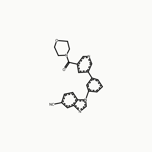 N#Cc1ccc2c(c1)ncn2-c1cccc(-c2cncc(C(=O)N3CCOCC3)c2)c1